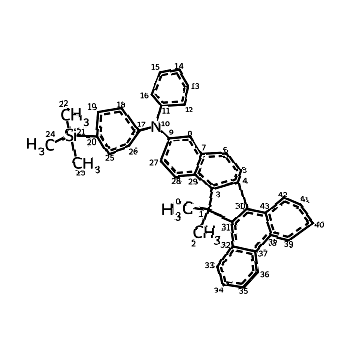 CC1(C)c2c(ccc3cc(N(c4ccccc4)c4ccc([Si](C)(C)C)cc4)ccc23)-c2c1c1ccccc1c1ccccc21